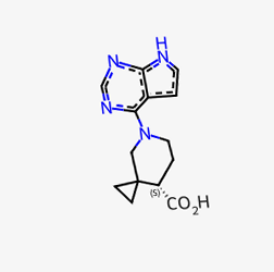 O=C(O)[C@H]1CCN(c2ncnc3[nH]ccc23)CC12CC2